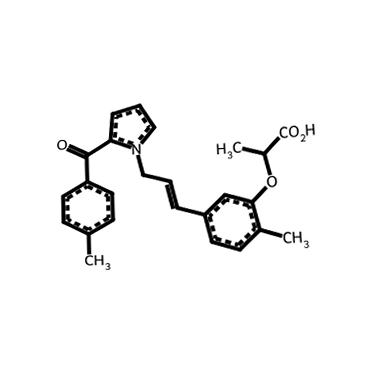 Cc1ccc(C(=O)c2cccn2C/C=C/c2ccc(C)c(OC(C)C(=O)O)c2)cc1